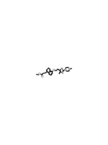 CCOC(=O)CCC1=CCCc2c(OCCc3nc(N4CCN(C)CC4)sc3C)cccc21